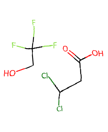 O=C(O)CC(Cl)Cl.OCC(F)(F)F